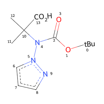 CC(C)(C)OC(=O)N(n1cccn1)C(C)(C)C(=O)O